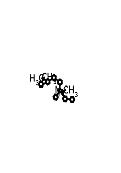 CC1C2C(c3cccc(-c4cccc(-c5ccc6c(c5)C(C)(C)c5ccccc5-6)c4)c3)=NC(c3ccccc3)N2C1c1cccc(-c2ccccc2)c1